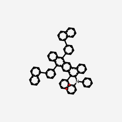 c1ccc(-c2c(N(c3ccccc3)c3ccccc3)c3ccccc3c3cc4c(-c5cccc(-c6cccc7ccccc67)c5)c5ccccc5c(-c5cccc(-c6cccc7ccccc67)c5)c4cc23)cc1